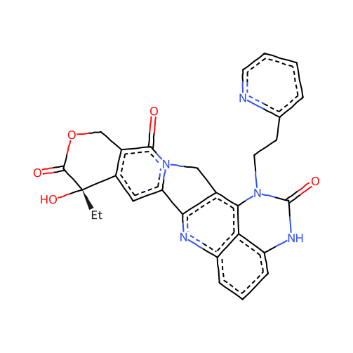 CC[C@@]1(O)C(=O)OCc2c1cc1n(c2=O)Cc2c-1nc1cccc3c1c2N(CCc1ccccn1)C(=O)N3